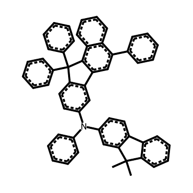 CC1(C)c2ccccc2-c2ccc(N(c3ccccc3)c3ccc4c(c3)-c3cc(-c5ccccc5)c5ccccc5c3C4(c3ccccc3)c3ccccc3)cc21